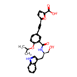 CC(C)Oc1ccc(C#Cc2ccc(C(=O)O)o2)cc1C(=O)N[C@@H](CO)Cc1c[nH]c2ccccc12